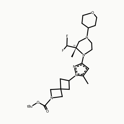 Cc1cc(N2CCN(C3CCOCC3)C[C@@]2(C)C(F)F)nn1C1CC2(C1)CN(C(=O)OC(C)(C)C)C2